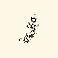 Cc1ncc(Cl)cc1C(=O)NC1CCC(Cn2c(=O)n(-c3ccc(F)nc3)c3ccccc32)CC1